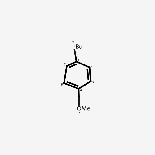 [CH2]CCCc1ccc(OC)cc1